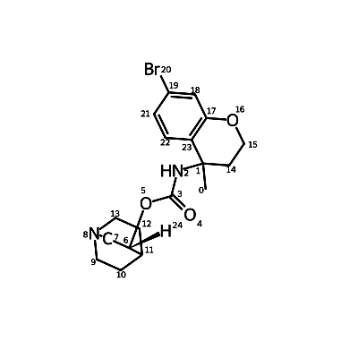 CC1(NC(=O)O[C@H]2CN3CCC2CC3)CCOc2cc(Br)ccc21